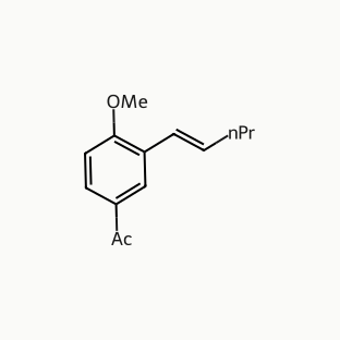 CCCC=Cc1cc(C(C)=O)ccc1OC